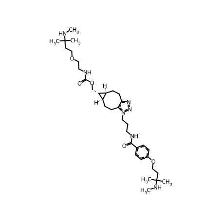 CNC(C)(C)CCOCCNC(=O)OC[C@H]1[C@@H]2CCc3c(nnn3CCCNC(=O)c3ccc(OCCC(C)(C)NC)cc3)CC[C@@H]21